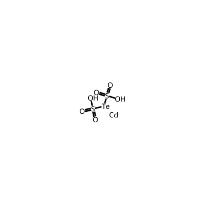 O=S(=O)(O)[Te]S(=O)(=O)O.[Cd]